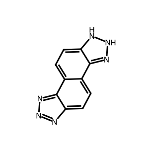 c1cc2c(ccc3[nH][nH]nc32)c2nnnc12